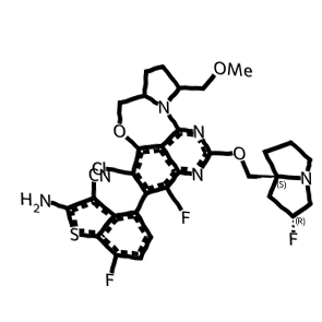 COCC1CCC2COc3c(Cl)c(-c4ccc(F)c5sc(N)c(C#N)c45)c(F)c4nc(OC[C@@]56CCCN5C[C@H](F)C6)nc(c34)N12